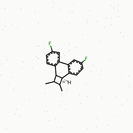 CC1C(C)[C@@H]2c3ccc(F)cc3-c3cc(F)ccc3C12